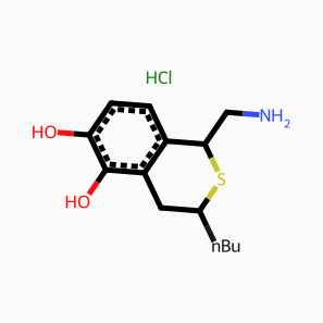 CCCCC1Cc2c(ccc(O)c2O)C(CN)S1.Cl